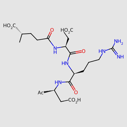 CC(=O)[C@H](CC(=O)O)NC(=O)[C@H](CCCNC(=N)N)NC(=O)[C@H](CC(=O)O)NC(=O)CC[C@H](C)C(=O)O